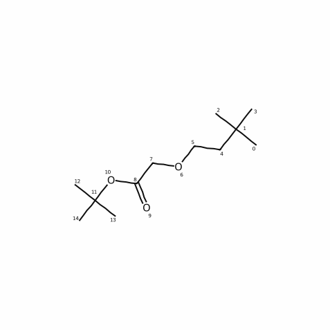 CC(C)(C)CCOCC(=O)OC(C)(C)C